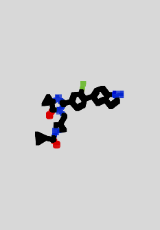 O=C(C1CC1)N1CC(CN2C(=O)C3(CC3)N=C2c2ccc(-c3ccc4[nH]ccc4c3)c(F)c2)C1